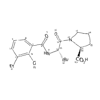 CCc1cccc(C(=O)N[C@H](C(=O)N2CCC[C@H]2C(=O)O)C(C)(C)C)c1Cl